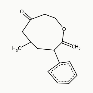 C=C1OCCC(=O)CC(C)CC1c1ccccc1